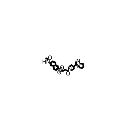 CC(=O)Nc1ccc2cc(S(=O)(=O)CCC(=O)N3CCC(c4cnc5n4CCCC5)CC3)ccc2c1